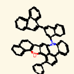 c1ccc(-c2ccc(-c3ccccc3N(c3ccc4oc5c6ccccc6ccc5c4c3)c3cc(-c4cc5ccccc5c5ccccc45)cc4ccccc34)cc2)cc1